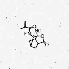 [C-]#[N+]C12OC(=O)C3CC(CC31)C2NC(=O)C(=C)C